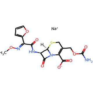 CON=C(C(=O)N[C@@H]1C(=O)N2C(C(=O)[O-])=C(COC(N)=O)CS[C@H]12)c1ccco1.[Na+]